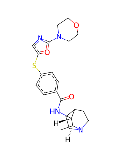 C[C@H]1[C@H](NC(=O)c2ccc(Sc3cnc(N4CCOCC4)o3)cc2)C2CCN1CC2